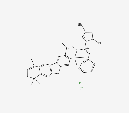 CCC1C=C(C(C)(C)C)C=[C]1[Zr+2](=[CH]c1ccccc1)[CH]1C=C(C)c2cc3c(cc2C1(C)C)Cc1cc2c(cc1-3)C(C)=CCC2(C)C.[Cl-].[Cl-]